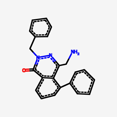 NCc1nn(Cc2ccccc2)c(=O)c2cccc(-c3ccccc3)c12